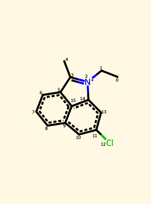 CC[N+]1=C(C)c2cccc3cc(Cl)cc1c23